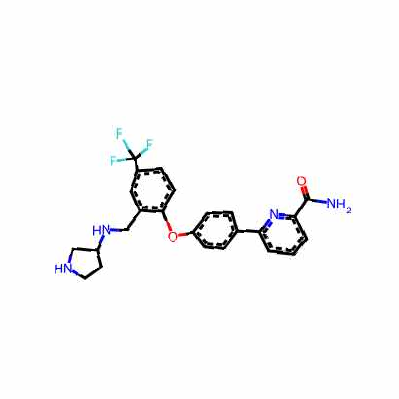 NC(=O)c1cccc(-c2ccc(Oc3ccc(C(F)(F)F)cc3CNC3CCNC3)cc2)n1